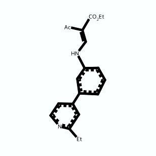 CCOC(=O)C(=CNc1cccc(-c2ccnc(CC)c2)c1)C(C)=O